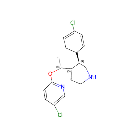 C[C@@H](Oc1ccc(Cl)cn1)[C@H]1CCNC[C@@H]1C1C=CC(Cl)=CC1